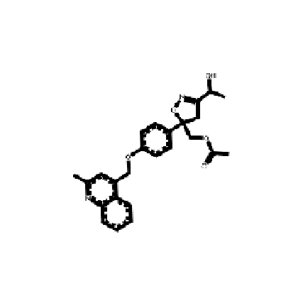 CC(=O)OCC1(c2ccc(OCc3cc(C)nc4ccccc34)cc2)CC(C(C)O)=NO1